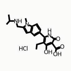 CCc1c(-c2ccc3c(c2)cc(CNC(C)C)n3C)[nH]c(=O)c(C(=O)O)c1O.Cl